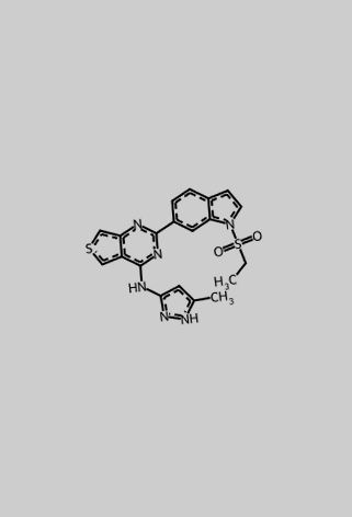 CCS(=O)(=O)n1ccc2ccc(-c3nc(Nc4cc(C)[nH]n4)c4cscc4n3)cc21